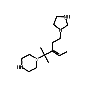 CC=C(CCN1CCNC1)C(C)(C)N1CCNCC1